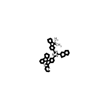 CC1(C)c2ccccc2-c2ccc(-c3nc(-c4ccc5c(c4)C4(c6ccccc6-c6ccccc64)c4sc6ccccc6c4-5)nc(-c4ccc5ccccc5c4)n3)cc21